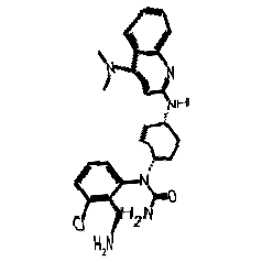 CN(C)c1cc(N[C@H]2CC[C@@H](N(C(N)=O)c3cccc(Cl)c3CN)CC2)nc2ccccc12